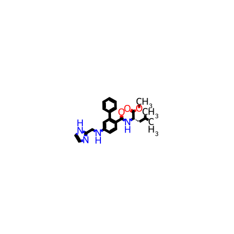 COC(=O)[C@H](CC(C)C)NC(=O)c1ccc(NCc2ncc[nH]2)cc1-c1ccccc1